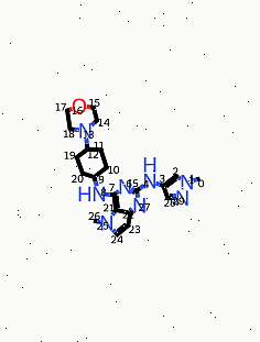 Cn1cc(Nc2nc(NC3CCC(N4CCOCC4)CC3)c3c(ccn3C)n2)cn1